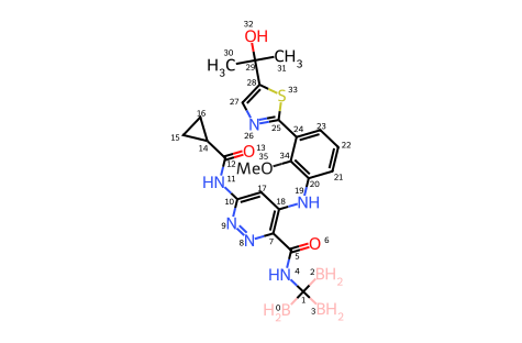 BC(B)(B)NC(=O)c1nnc(NC(=O)C2CC2)cc1Nc1cccc(-c2ncc(C(C)(C)O)s2)c1OC